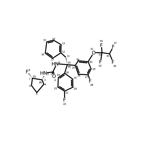 O=C(N[C@@H]1CCC[C@@H]1F)N[C@](Cc1ccccc1)(c1ccc(F)cc1)c1cc(F)cc(OC(F)(F)C(F)F)c1